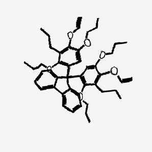 C=COc1c(OCCC)cc(C2(c3cc(OCCC)c(OC=C)c(CCC)c3OCCC)c3ccccc3-c3ccccc32)c(OCCC)c1CCC